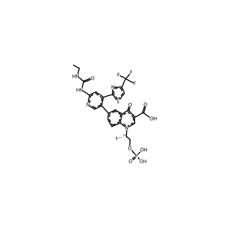 CCNC(=O)Nc1cc(-c2nc(C(F)(F)F)cs2)c(-c2ccc3c(c2)c(=O)c(C(=O)O)cn3[C@@H](I)COP(=O)(O)O)cn1